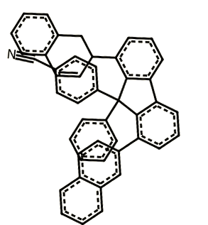 N#Cc1ccc(C2(c3ccccc3)c3c(-c4ccc5ccccc5c4)cccc3-c3cccc(C4C=Cc5ccccc5C4)c32)cc1